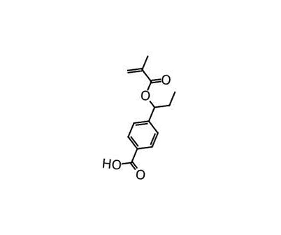 C=C(C)C(=O)OC(CC)c1ccc(C(=O)O)cc1